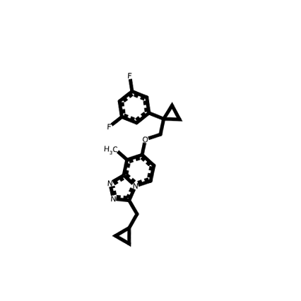 Cc1c(OCC2(c3cc(F)cc(F)c3)CC2)ccn2c(CC3CC3)nnc12